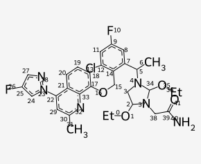 CCOC1CN(C(C)c2cc(F)cc(Cl)c2COc2cccc3c(-n4cc(F)cn4)cc(C)nc23)C(OCC)N1CC(N)=O